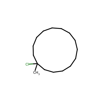 CC1(Cl)CCCCCCCCCCCCCC1